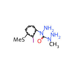 CSc1cccc(N(N)C(=O)N(C)N)c1I